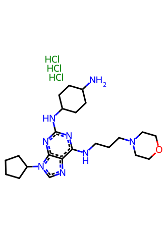 Cl.Cl.Cl.NC1CCC(Nc2nc(NCCCN3CCOCC3)c3ncn(C4CCCC4)c3n2)CC1